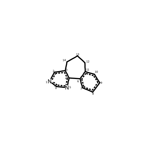 [c]1ncc2c(n1)-c1ccccc1CCC2